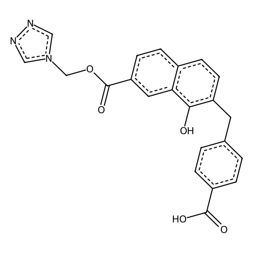 O=C(O)c1ccc(Cc2ccc3ccc(C(=O)OCn4cnnc4)cc3c2O)cc1